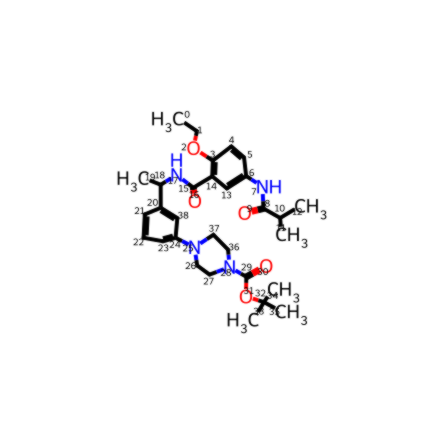 CCOc1ccc(NC(=O)C(C)C)cc1C(=O)NC(C)c1cccc(N2CCN(C(=O)OC(C)(C)C)CC2)c1